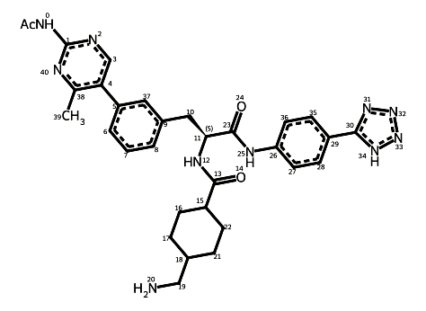 CC(=O)Nc1ncc(-c2cccc(C[C@H](NC(=O)C3CCC(CN)CC3)C(=O)Nc3ccc(-c4nnn[nH]4)cc3)c2)c(C)n1